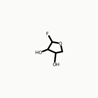 OC1COC(F)C1O